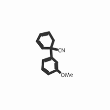 COc1cccc(C2(C#N)C=CC=CC2)c1